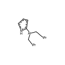 CC(C)[CH2][Al]([CH2]C(C)C)[c]1ccc[nH]1